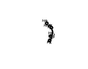 O=C(NCC#Cc1ccc2ncc(N[C@H]3CC[C@H](O)CC3)nc2c1)c1cncn(Cc2ccc(F)c(F)c2)c1=O